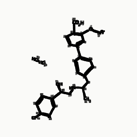 CCCOc1cc(-c2ccc(C[C@@H](C)NC[C@H](O)c3ccc(Cl)nc3)cc2)ccc1C(=O)O.Cl.Cl